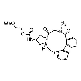 COCCOC(=O)N[C@@H]1C[C@H]2COc3ccccc3-c3ccccc3C(=O)N(C)CC(=O)N2C1